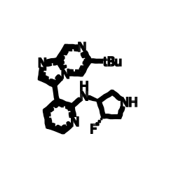 CC(C)(C)c1cn2c(-c3cccnc3N[C@H]3CNC[C@@H]3F)cnc2cn1